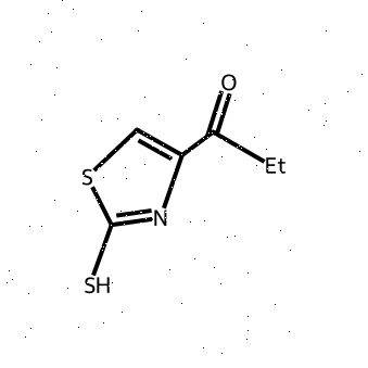 CCC(=O)c1csc(S)n1